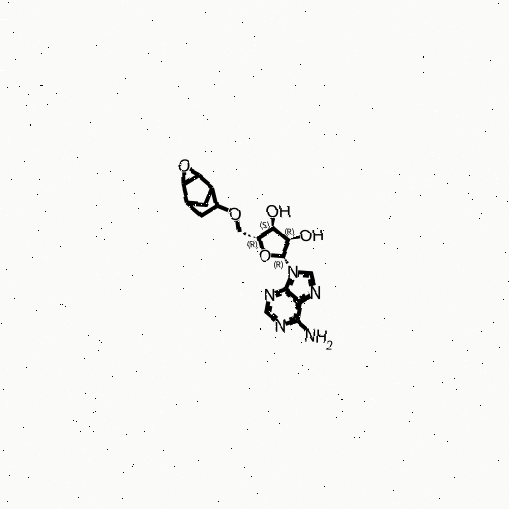 Nc1ncnc2c1ncn2[C@@H]1O[C@H](COC2CC3CC2C2OC32)[C@@H](O)[C@H]1O